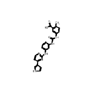 Cc1ccc(NC(=O)Nc2cccc(Nc3nccc(-c4cc[nH]c4)n3)c2)cc1C(=O)O